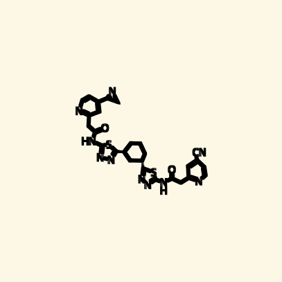 N#Cc1ccnc(CC(=O)Nc2nnc([C@H]3CCC[C@H](c4nnc(NC(=O)Cc5cc(C6=NC6)ccn5)s4)C3)s2)c1